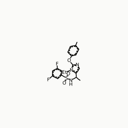 CCn1c(C(C)NS(=O)(=O)c2cc(F)cc(F)c2)cnc1Oc1ccc(C)cc1